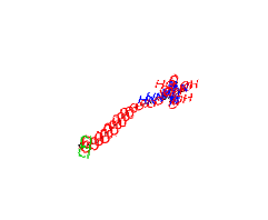 O=C(CCOCCOCCOCCOCCOCCOCCOCCOCCOCCOCCOCCOCCC(=O)Oc1c(Cl)cccc1Cl)NCCC(=O)Nc1ccc(CC2CN(Cc3cccc(=O)n3O)CCN(Cc3cccc(=O)n3O)CCN(Cc3cccc(=O)n3O)CCN2Cc2cccc(=O)n2O)cc1